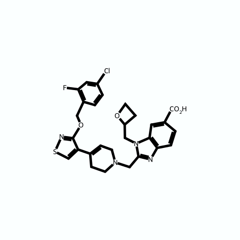 O=C(O)c1ccc2nc(CN3CC=C(c4csnc4OCc4ccc(Cl)cc4F)CC3)n(CC3CCO3)c2c1